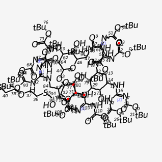 CC(C)(C)OC(=O)N=C(NC(=O)OC(C)(C)C)NC1C[C@@H](N/C(=N/C(=O)OC(C)(C)C)NC(=O)OC(C)(C)C)C(O)C(O[C@@H]2O[C@H](CSCCOCCS)C(OC3OC(CN/C(=N/C(=O)OC(C)(C)C)NC(=O)OC(C)(C)C)[C@@H](O)C(O)[C@H]3N/C(=N\C(=O)OC(C)(C)C)NC(=O)OC(C)(C)C)C2O)[C@@H]1O[C@H]1OC(CN/C(=N\C(=O)OC(C)(C)C)NC(=O)OC(C)(C)C)[C@@H](O)C(O)C1N/C(=N\C(=O)OC(C)(C)C)NC(=O)OC(C)(C)C